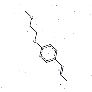 C/C=C/c1ccc(OCCOC)cc1